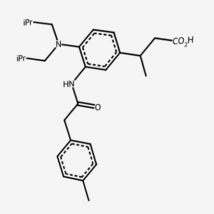 Cc1ccc(CC(=O)Nc2cc(C(C)CC(=O)O)ccc2N(CC(C)C)CC(C)C)cc1